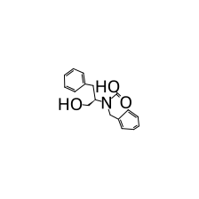 O=C(O)N(Cc1ccccc1)[C@@H](CO)Cc1ccccc1